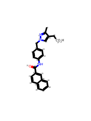 Cc1nn(Cc2ccc(NC(=O)c3ccc4ccccc4c3)cc2)cc1CC(=O)O